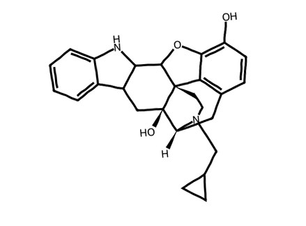 Oc1ccc2c3c1OC1C4Nc5ccccc5C4C[C@@]4(O)[C@@H](C2)N(CC2CC2)CC[C@]314